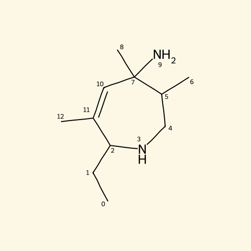 CCC1NCC(C)C(C)(N)C=C1C